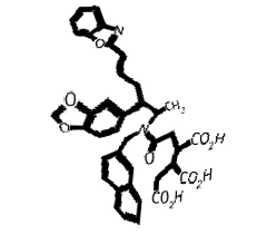 CC(C(CC=Cc1nc2ccccc2o1)c1ccc2c(c1)OCO2)N(Cc1ccc2ccccc2c1)C(=O)CC(C(=O)O)C(CC(=O)O)C(=O)O